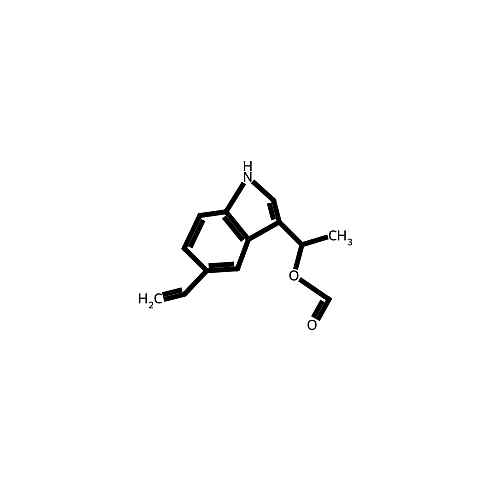 C=Cc1ccc2[nH]cc(C(C)OC=O)c2c1